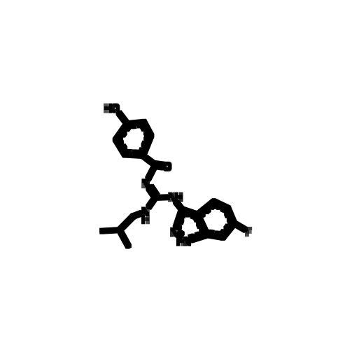 CC(C)CN/C(=N/C(=O)c1ccc(O)cc1)Nc1n[nH]c2cc(F)ccc12